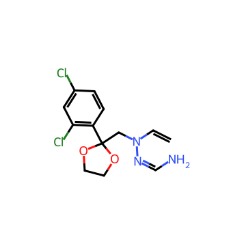 C=CN(CC1(c2ccc(Cl)cc2Cl)OCCO1)/N=C\N